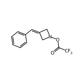 O=C(ON1CC(=Cc2ccccc2)C1)C(F)(F)F